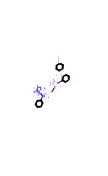 Cn1nnnc1/C(=N\OCc1nnc(-c2cc(Cl)ccc2Oc2ccc(F)cc2)o1)c1ccccc1